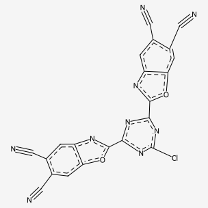 N#Cc1cc2nc(-c3nc(Cl)nc(-c4nc5cc(C#N)c(C#N)cc5o4)n3)oc2cc1C#N